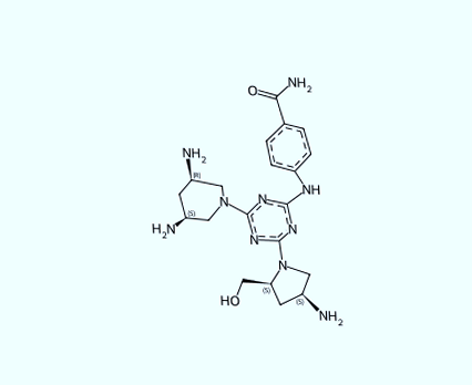 NC(=O)c1ccc(Nc2nc(N3C[C@H](N)C[C@H](N)C3)nc(N3C[C@@H](N)C[C@H]3CO)n2)cc1